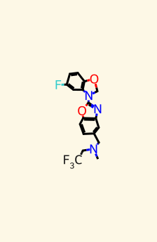 CN(Cc1ccc2oc(N3COc4ccc(F)cc43)nc2c1)CC(F)(F)F